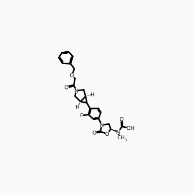 CN(C(=O)O)[C@@H]1CN(c2ccc(C3[C@H]4CN(C(=O)COCc5ccccc5)C[C@@H]34)c(F)c2)C(=O)O1